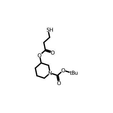 CC(C)(C)OC(=O)N1CCCC(OC(=O)CCS)C1